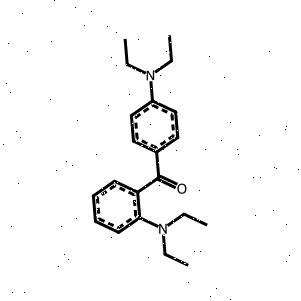 CCN(CC)c1ccc(C(=O)c2ccccc2N(CC)CC)cc1